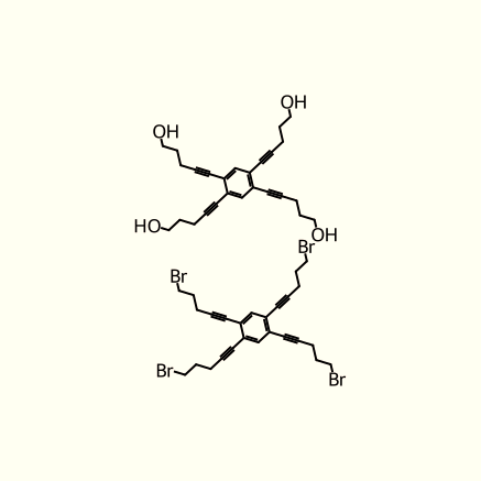 BrCCCC#Cc1cc(C#CCCCBr)c(C#CCCCBr)cc1C#CCCCBr.OCCCC#Cc1cc(C#CCCCO)c(C#CCCCO)cc1C#CCCCO